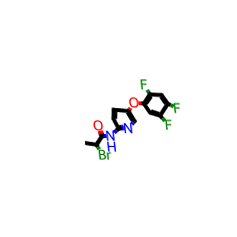 CC(Br)C(=O)Nc1ccc(Oc2cc(F)c(F)cc2F)cn1